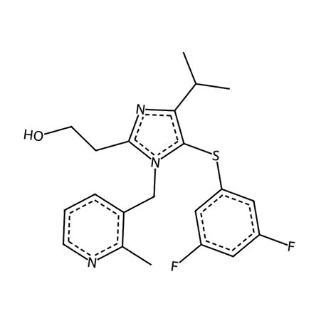 Cc1ncccc1Cn1c(CCO)nc(C(C)C)c1Sc1cc(F)cc(F)c1